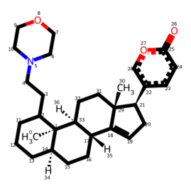 C[C@@]12C(CCN3CCOCC3)CCC[C@@H]1CC[C@H]1C3=CC[C@H](c4ccc(=O)oc4)[C@@]3(C)CC[C@@H]12